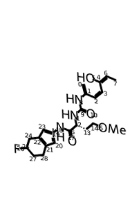 C=C(/C=C\C(O)=C/C)NC(=O)N[C@H](CCOC)C(=O)NI1=CC2=C(C=1)CC(F)CC2